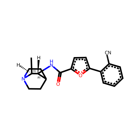 C[C@H]1[C@H](NC(=O)c2ccc(-c3ccccc3C#N)o2)C2CCN1CC2